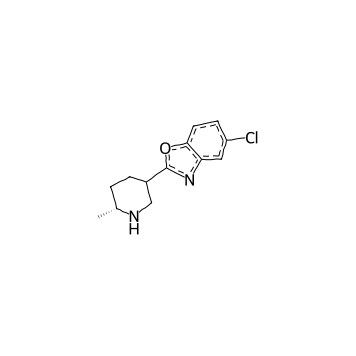 C[C@@H]1CCC(c2nc3cc(Cl)ccc3o2)CN1